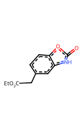 CCOC(=O)Cc1ccc2oc(=O)[nH]c2c1